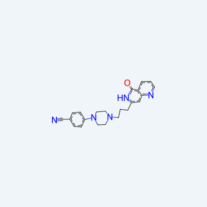 N#Cc1ccc(N2CCN(CCCc3cc4ncccc4c(=O)[nH]3)CC2)cc1